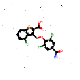 NC(=O)c1cc(F)c(OCc2c(C(=O)O)sc3cccc(Cl)c23)c(Br)c1